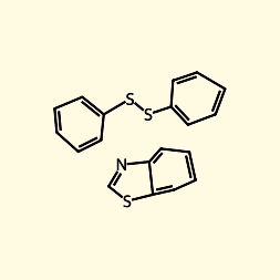 c1ccc(SSc2ccccc2)cc1.c1ccc2scnc2c1